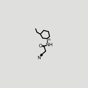 CCC1CCC[C@@H](NC(=O)CC#N)C1